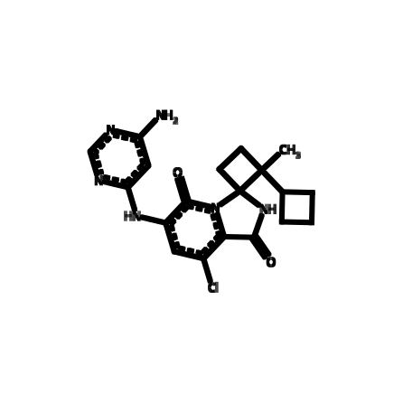 CC1(C2CCC2)CCC12NC(=O)c1c(Cl)cc(Nc3cc(N)ncn3)c(=O)n12